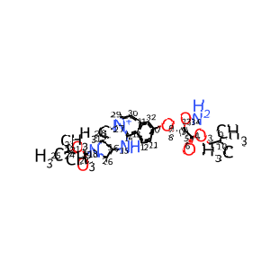 CC(C)COC(=O)[C@H](COc1ccc2c(NC3CN(C(=O)OC(C)(C)C)C3)[n+](C)ccc2c1)ON